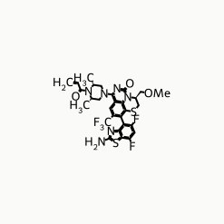 C=CC(=O)N1[C@H](C)CN(c2nc(=O)n3c4c(c(-c5c(F)cc(F)c6sc(N)nc56)c(C(F)(F)F)cc24)SC[C@@H]3COC)C[C@@H]1C